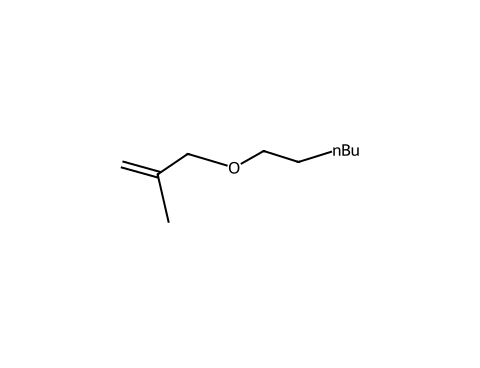 [CH2]CCCCCOCC(=C)C